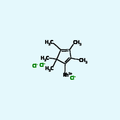 CC1=C(C)C(C)(C)[C]([Rh+3])=C1C.[Cl-].[Cl-].[Cl-]